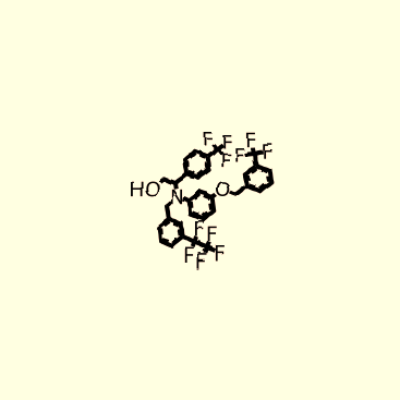 OCC(c1ccc(C(F)(F)F)cc1)N(Cc1cccc(C(F)(F)C(F)(F)F)c1)c1cccc(OCc2cccc(C(F)(F)F)c2)c1